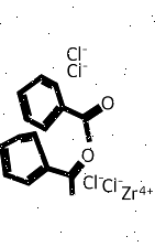 CC(=O)c1ccccc1.CC(=O)c1ccccc1.[Cl-].[Cl-].[Cl-].[Cl-].[Zr+4]